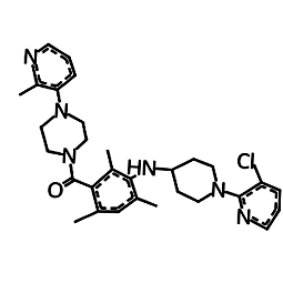 Cc1cc(C)c(C(=O)N2CCN(c3cccnc3C)CC2)c(C)c1NC1CCN(c2ncccc2Cl)CC1